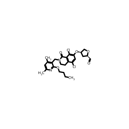 CCCCOc1nc(C)cc(C)c1CN1CCc2c(Cl)cc(O[C@H]3CO[C@@H](C=O)C3)c(Cl)c2C1=O